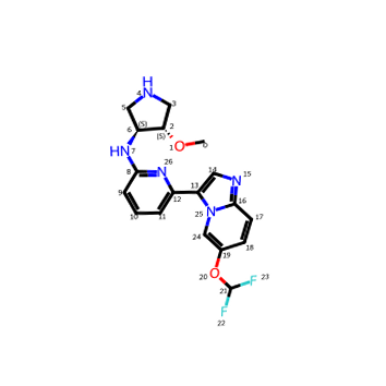 CO[C@H]1CNC[C@@H]1Nc1cccc(-c2cnc3ccc(OC(F)F)cn23)n1